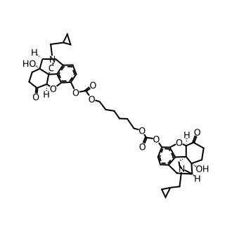 O=C(OCCCCCCOC(=O)Oc1ccc2c3c1O[C@H]1C(=O)CC[C@@]4(O)[C@@H](C2)N(CC2CC2)CC[C@]314)Oc1ccc2c3c1O[C@H]1C(=O)CC[C@@]4(O)[C@@H](C2)N(CC2CC2)CC[C@]314